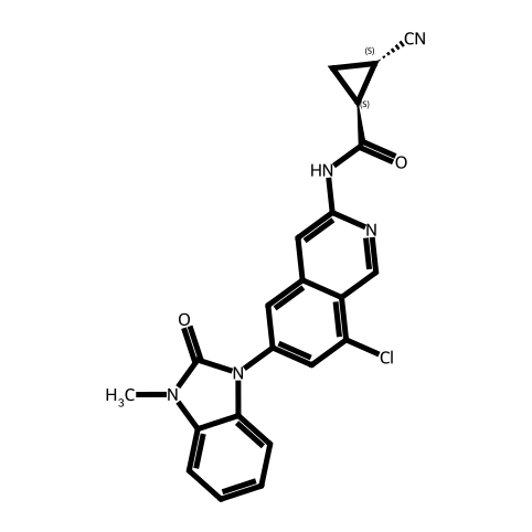 Cn1c(=O)n(-c2cc(Cl)c3cnc(NC(=O)[C@H]4C[C@@H]4C#N)cc3c2)c2ccccc21